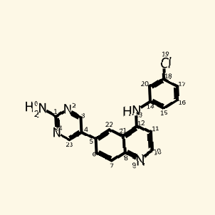 Nc1ncc(-c2ccc3nccc(Nc4cccc(Cl)c4)c3c2)cn1